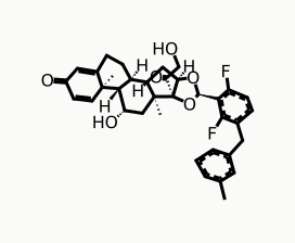 Cc1cccc(Cc2ccc(F)c([C@@H]3O[C@@H]4C[C@H]5[C@@H]6CCC7=CC(=O)C=C[C@]7(C)[C@H]6[C@@H](O)C[C@]5(C)[C@]4(C(=O)CO)O3)c2F)c1